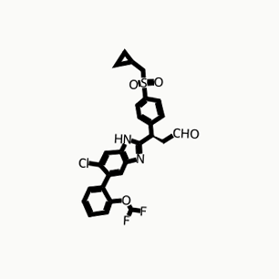 O=CC[C@H](c1ccc(S(=O)(=O)CC2CC2)cc1)c1nc2cc(-c3ccccc3OC(F)F)c(Cl)cc2[nH]1